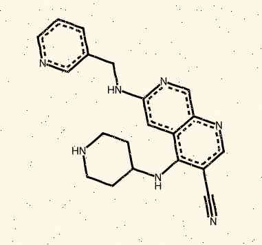 N#Cc1cnc2cnc(NCc3cccnc3)cc2c1NC1CCNCC1